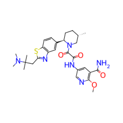 COc1ncc(NC(=O)C(=O)N2C[C@@H](C)CC[C@@H]2c2ccc3sc(CC(C)(C)N(C)C)nc3c2)cc1C(N)=O